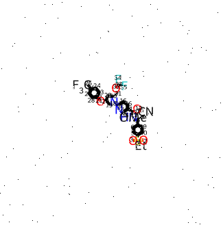 CCS(=O)(=O)c1ccc([C@H](CC#N)NC(=O)c2ccc(N3C[C@@H](Oc4ccc(C(F)(F)F)cc4)C[C@H]3COC(F)F)nc2OC)cc1